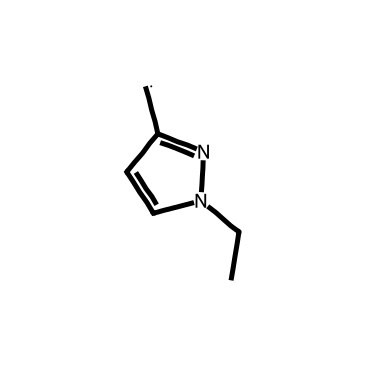 [CH2]c1ccn(CC)n1